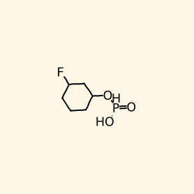 O=[PH](O)OC1CCCC(F)C1